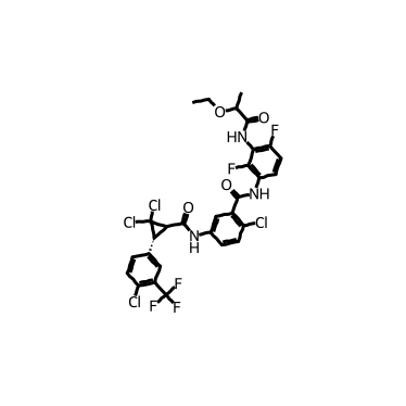 CCOC(C)C(=O)Nc1c(F)ccc(NC(=O)c2cc(NC(=O)C3[C@H](c4ccc(Cl)c(C(F)(F)F)c4)C3(Cl)Cl)ccc2Cl)c1F